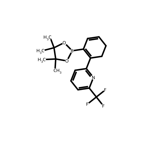 CC1(C)OB(C2=C(c3cccc(C(F)(F)F)n3)CCC=C2)OC1(C)C